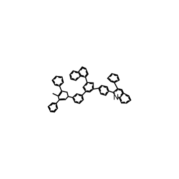 CC1=C(c2ccccc2)CC(c2cccc(-c3cc(-c4ccc(-c5nc6ccccc6cc5-c5ccccc5)cc4)cc(-c4cccc5ccccc45)c3)c2)C=C1c1ccccc1